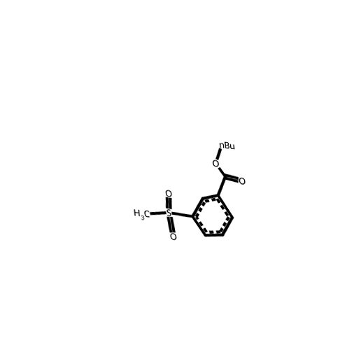 CCCCOC(=O)c1cccc(S(C)(=O)=O)c1